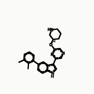 Cc1cccc(-c2ccc3[nH]cc(-c4cncc(O[C@@H]5CCCNC5)n4)c3c2)c1C